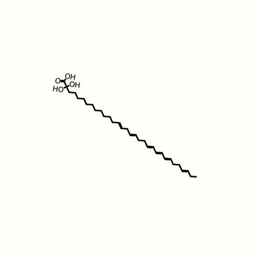 CCC=CCCC=CC=CC=CCCC=CCC=CCCCCCCCCCCCC(O)(O)C(=O)O